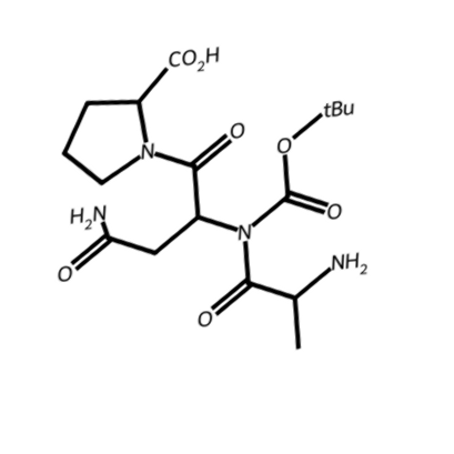 CC(N)C(=O)N(C(=O)OC(C)(C)C)C(CC(N)=O)C(=O)N1CCCC1C(=O)O